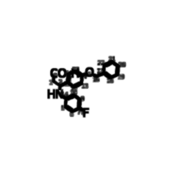 O=C(O)C[C@H](Nc1ccc(F)cc1)c1ccc(OCc2ccccc2)cc1